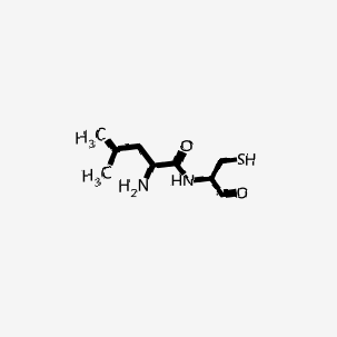 CC(C)CC(N)C(=O)NC([C]=O)CS